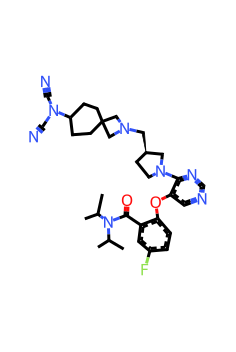 CC(C)N(C(=O)c1cc(F)ccc1Oc1cncnc1N1CC[C@@H](CN2CC3(CCC(N(C#N)C#N)CC3)C2)C1)C(C)C